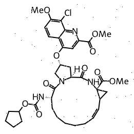 COC(=O)c1cc(O[C@@H]2C[C@H]3C(=O)N[C@]4(C(=O)OC)CC4/C=C\CCCCC[C@H](NC(=O)OC4CCCC4)C(=O)N3C2)c2ccc(OC)c(Cl)c2n1